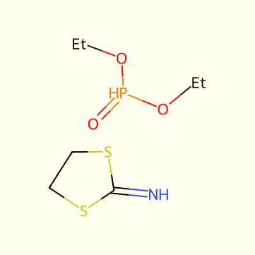 CCO[PH](=O)OCC.N=C1SCCS1